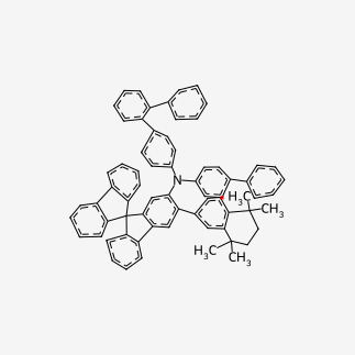 CC1(C)CCC(C)(C)c2cc(-c3cc4c(cc3N(c3ccc(-c5ccccc5)cc3)c3ccc(-c5ccccc5-c5ccccc5)cc3)C3(c5ccccc5-c5ccccc53)c3ccccc3-4)ccc21